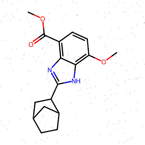 COC(=O)c1ccc(OC)c2[nH]c(C3CC4CCC3C4)nc12